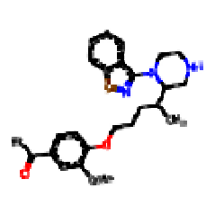 CCC(=O)c1ccc(OCCCC(C)C2CNCCN2c2nsc3ccccc23)c(OC)c1